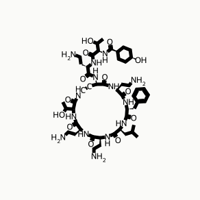 CC(C)C[C@@H]1NC(=O)[C@@H](Cc2ccccc2)NC(=O)[C@H](CCN)NC(=O)[C@@H](NC(=O)[C@H](CCN)NC(=O)[C@@H](NC(=O)[C@H]2CC[C@H](O)CC2)C(C)O)CCNC(=O)C(C(C)O)NC(=O)[C@H](CCN)NC(=O)[C@H](CCN)NC1=O